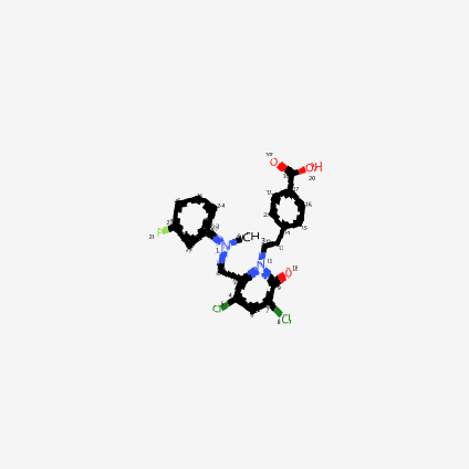 CN(Cc1c(Cl)cc(Cl)c(=O)n1CCc1ccc(C(=O)O)cc1)c1cccc(F)c1